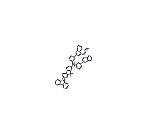 C/C=C\C=C/c1cc(-c2cccc(N(c3cccc(-c4ccc5ccccc5c4)c3)c3ccc4c(c3)C(C)(C)c3cc(-n5c6ccccc6c6ccccc65)ccc3-4)c2)cc2ccccc12